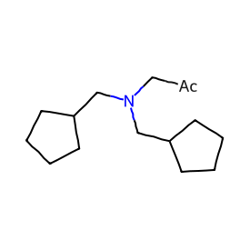 CC(=O)CN(CC1CCCC1)CC1CCCC1